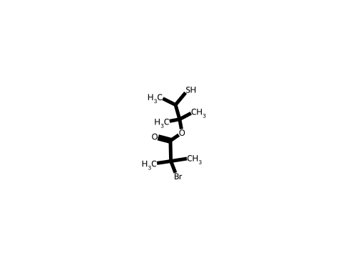 CC(S)C(C)(C)OC(=O)C(C)(C)Br